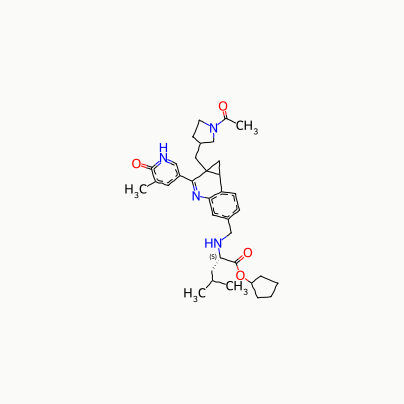 CC(=O)N1CCC(CC23CC2c2ccc(CN[C@@H](CC(C)C)C(=O)OC4CCCC4)cc2N=C3c2c[nH]c(=O)c(C)c2)C1